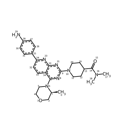 C[C@H]1COCCN1c1nc(N2CCC(C(=O)N(C)C)CC2)nc2nc(-c3ccc(N)cc3)ccc12